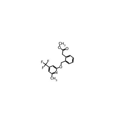 COC(=O)Cc1ccccc1COc1cc(C(F)(F)F)cc(C)n1